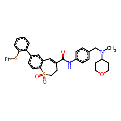 CCSc1ccccc1-c1ccc2c(c1)C=C(C(=O)Nc1ccc(CN(C)C3CCOCC3)cc1)CCS2(=O)=O